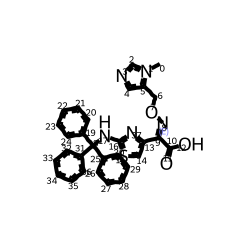 Cn1cncc1CO/N=C(/C(=O)O)c1csc(NC(c2ccccc2)(c2ccccc2)c2ccccc2)n1